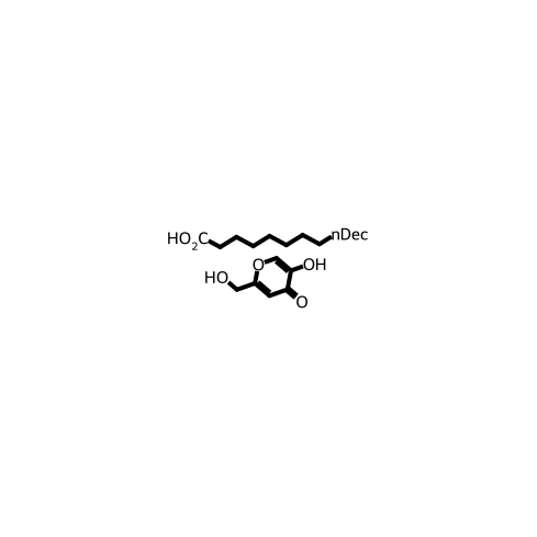 CCCCCCCCCCCCCCCCCC(=O)O.O=c1cc(CO)occ1O